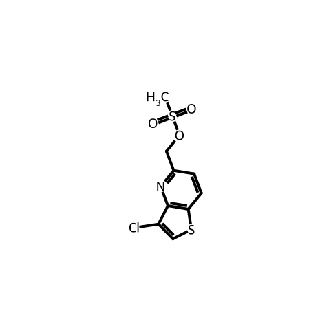 CS(=O)(=O)OCc1ccc2scc(Cl)c2n1